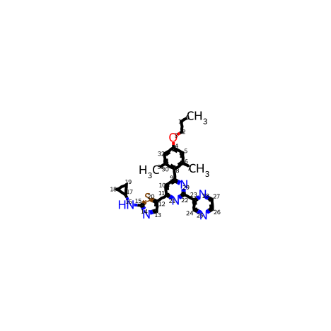 CCCOc1cc(C)c(-c2cc(-c3cnc(NC4CC4)s3)nc(-c3cnccn3)n2)c(C)c1